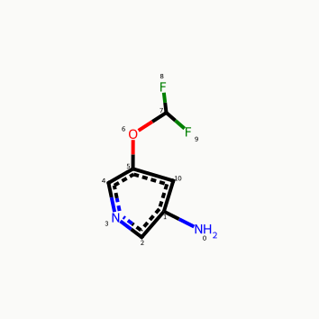 Nc1cncc(OC(F)F)c1